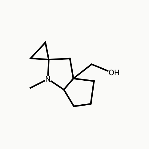 CN1C2CCCC2(CO)CC12CC2